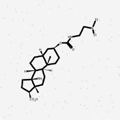 CCN(CC)CCNC(=O)O[C@H]1CC[C@@]2(C)[C@H](CC[C@@H]3[C@@H]2CC[C@]2(C)[C@@H](C(=O)O)CC[C@]32N)C1